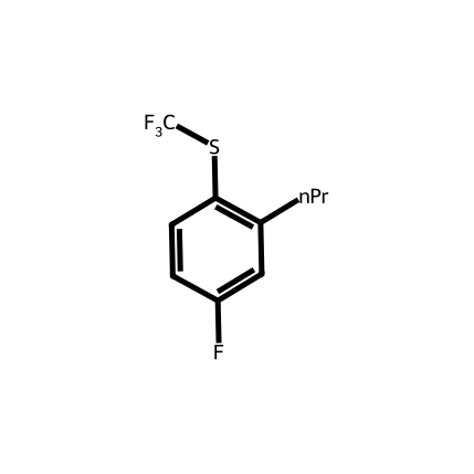 C[CH]Cc1cc(F)ccc1SC(F)(F)F